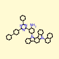 Nc1ccc(-n2c3ccccc3c3ccc4c(c5ccccc5n4-c4cccc5ccccc45)c32)cc1-c1nc(-c2ccccc2)nc(-c2ccc(-c3ccccc3)cc2)n1